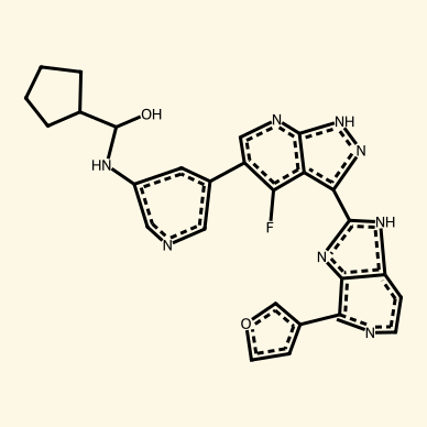 OC(Nc1cncc(-c2cnc3[nH]nc(-c4nc5c(-c6ccoc6)nccc5[nH]4)c3c2F)c1)C1CCCC1